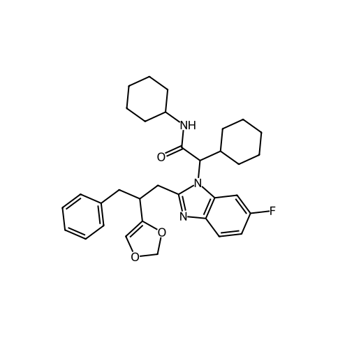 O=C(NC1CCCCC1)C(C1CCCCC1)n1c(CC(Cc2ccccc2)C2=COCO2)nc2ccc(F)cc21